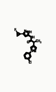 C[C@H](C(=O)Nc1cc([C@H]2C[C@@H]2F)n[nH]1)c1cnn(-c2cccc(Cl)c2)c1